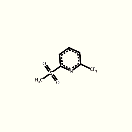 CS(=O)(=O)c1cc[c]c(C(F)(F)F)n1